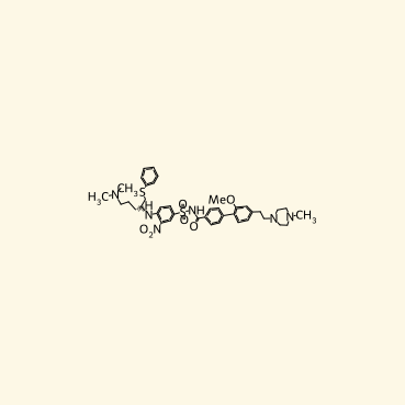 COc1cc(CCN2CCN(C)CC2)ccc1-c1ccc(C(=O)NS(=O)(=O)c2ccc(N[C@H](CCCN(C)C)CSc3ccccc3)c([N+](=O)[O-])c2)cc1